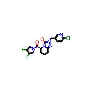 O=C([C@@H]1CCCc2nn(Cc3ccc(Cl)nc3)c(=O)n21)N1CC(F)C(F)C1